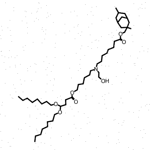 CCCCCCCCOC(CCC(=O)OCCCCCCN(CCO)CCCCCCCC(=O)OCC1(C)CC2CC(C)CC(C2)C1)OCCCCCCCC